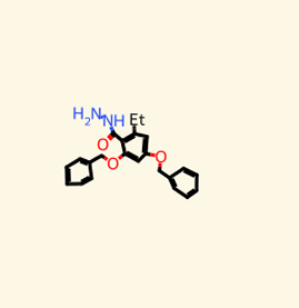 CCc1cc(OCc2ccccc2)cc(OCc2ccccc2)c1C(=O)NN